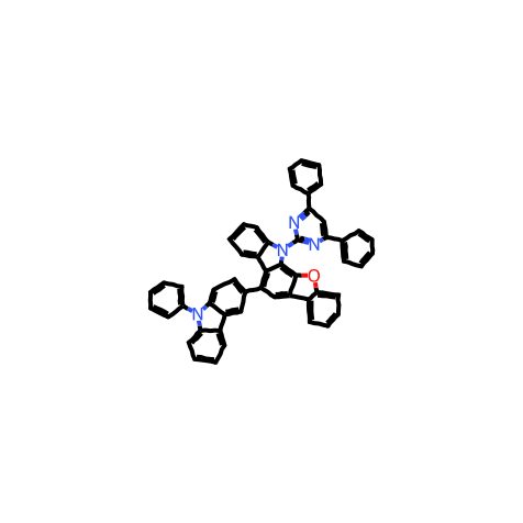 c1ccc(-c2cc(-c3ccccc3)nc(-n3c4ccccc4c4c(-c5ccc6c(c5)c5ccccc5n6-c5ccccc5)cc5c6ccccc6oc5c43)n2)cc1